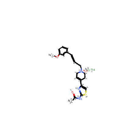 COc1cccc(C=CCN2CC=C(c3csc(NC(C)=O)n3)CC2)c1.Cl.Cl.O